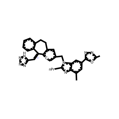 CCCc1nc2c(C)cc(-c3nnc(C)o3)cc2n1Cc1ccc2c(c1)CCc1ccccc1/C2=C\c1nnn[nH]1